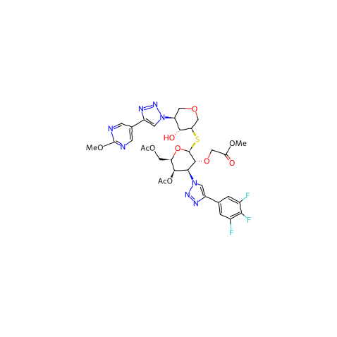 COC(=O)CO[C@@H]1[C@@H](n2cc(-c3cc(F)c(F)c(F)c3)nn2)[C@@H](OC(C)=O)[C@@H](COC(C)=O)O[C@H]1S[C@@H]1COC[C@H](n2cc(-c3cnc(OC)nc3)nn2)[C@H]1O